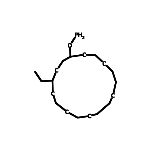 CCC1CCCCCCCCCCCCCC(OP)CC1